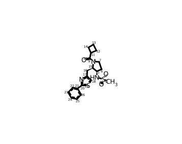 CS(=O)(=O)N[C@@H]1CCN(C(=O)C2CCC2)[C@@H]1Cc1csc(-c2ccccc2)n1